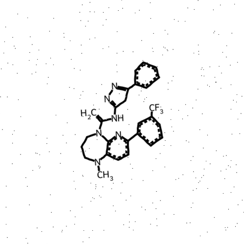 C=C(NC1=NN=C(c2ccccc2)C1)N1CCCN(C)c2ccc(-c3cccc(C(F)(F)F)c3)nc21